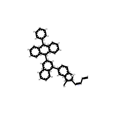 C=C/C=C\c1sc2ccc(-c3cc(-c4c5ccccc5c(-c5ccccc5)c5ccccc45)cc4ccccc34)cc2c1C